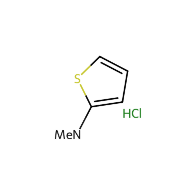 CNc1cccs1.Cl